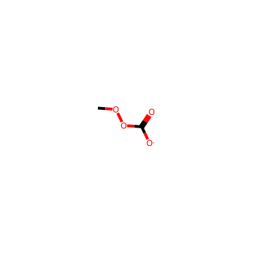 COOC([O])=O